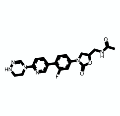 CC(=O)NCC1CN(c2ccc(-c3ccc(N4C=NNCC4)nc3)c(F)c2)C(=O)O1